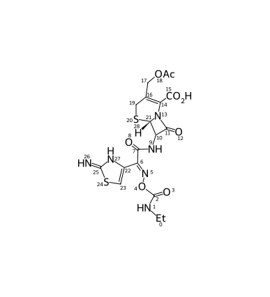 CCNC(=O)ON=C(C(=O)NC1C(=O)N2C(C(=O)O)=C(COC(C)=O)CS[C@@H]12)c1csc(=N)[nH]1